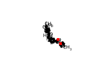 CNC(=O)c1ccc(C(=O)Nc2ncc3ccc(-c4cnn(C5CCN(C)CC5)c4)cc3n2)cn1